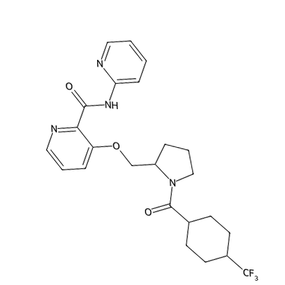 O=C(Nc1ccccn1)c1ncccc1OCC1CCCN1C(=O)C1CCC(C(F)(F)F)CC1